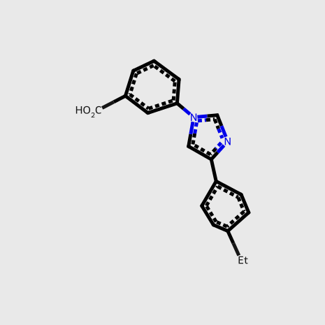 CCc1ccc(-c2cn(-c3cccc(C(=O)O)c3)cn2)cc1